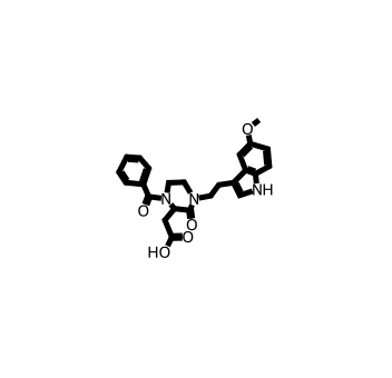 COc1ccc2[nH]cc(CCN3CCN(C(=O)c4ccccc4)C(CC(=O)O)C3=O)c2c1